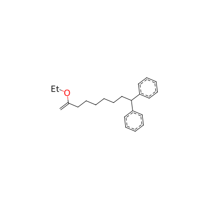 C=C(CCCCCCC(c1ccccc1)c1ccccc1)OCC